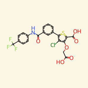 O=C(O)COc1c(C(=O)O)sc(-c2cccc(C(=O)Nc3ccc(C(F)(F)F)cc3)c2)c1Cl